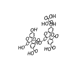 O=C(O)C(=O)O.O=C(O)c1ccc2c(c1)C(=O)OC21c2ccc(O)cc2Oc2cc(O)ccc21.O=C(O)c1ccc2c(c1)C(=O)OC21c2ccc(O)cc2Oc2cc(O)ccc21